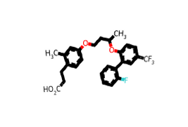 Cc1cc(OCCC(C)Oc2ccc(C(F)(F)F)cc2-c2ccccc2F)ccc1CCC(=O)O